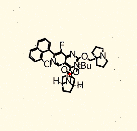 CC(C)(C)OC(=O)N1[C@@H]2CC[C@H]1CN(c1nc(OCC34CCCN3CCC4)nc3c(F)c(-c4cccc5cccc(Cl)c45)ncc13)C2